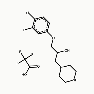 O=C(O)C(F)(F)F.OC(COc1ccc(Cl)c(F)c1)CN1CCNCC1